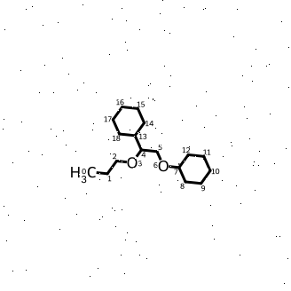 CCCOC(CO[C]1CCCCC1)C1CCCCC1